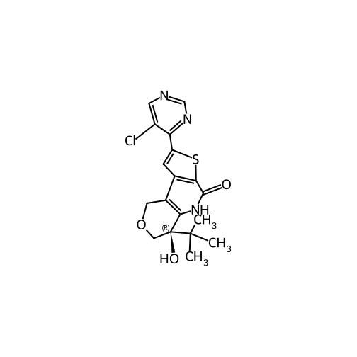 CC(C)(C)[C@]1(O)COCc2c1[nH]c(=O)c1sc(-c3ncncc3Cl)cc21